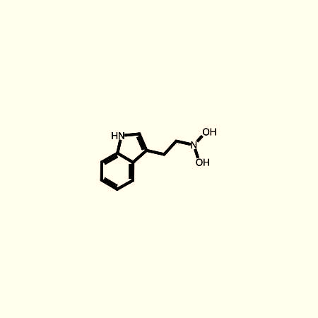 ON(O)CCc1c[nH]c2ccccc12